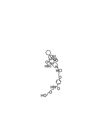 CCCCN1C(=O)[C@@H](CC2(O)CCCCC2)NC(=O)C12CCN(CCCCOc1ccc(C(=O)NCCOCCO)cc1)CC2.Cl